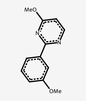 COc1cccc(-c2nccc(OC)n2)c1